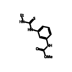 CCNC(=S)Nc1cccc(NC(=O)OC)c1